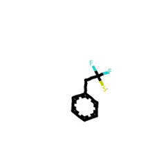 FC(F)([S])Cc1ccccc1